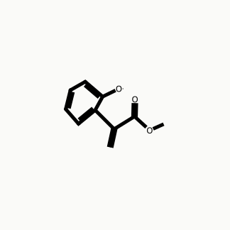 C=C(C(=O)OC)c1ccccc1[O]